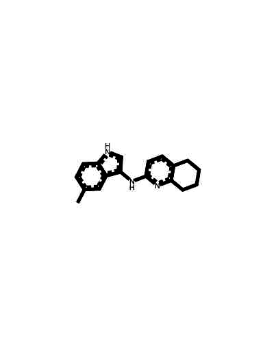 Cc1ccc2[nH]cc(Nc3ccc4c(n3)CCCC4)c2c1